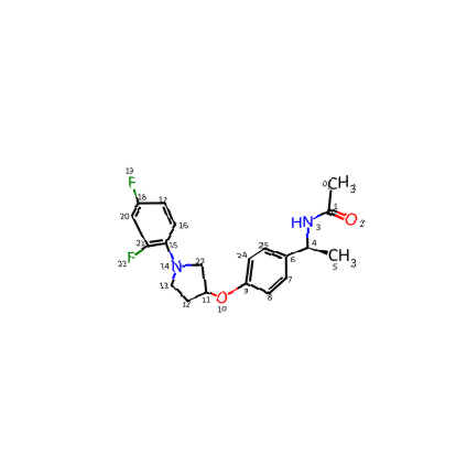 CC(=O)N[C@@H](C)c1ccc(OC2CCN(c3ccc(F)cc3F)C2)cc1